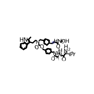 Cc1[nH]c2ccccc2c1CCN(Cc1ccc(/C=C/C(=O)NO)cc1)C(=O)OCc1ccc(NC(=O)[C@@H](C)NC(=O)[C@@H](N)C(C)C)cc1